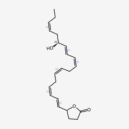 CC/C=C\C[C@H](O)/C=C/C=C\C/C=C\C/C=C\C=C\C1CCC(=O)O1